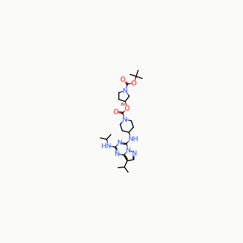 CC(C)Nc1nc(NC2CCN(C(=O)O[C@H]3CCN(C(=O)OC(C)(C)C)C3)CC2)n2ncc(C(C)C)c2n1